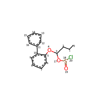 CCCC(Oc1ccccc1-c1ccccc1)OS(=O)Cl